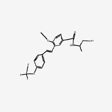 COc1ccc(C(=O)NC(C)CO)cc1/C=C/c1ccc(OC(F)(F)F)cc1